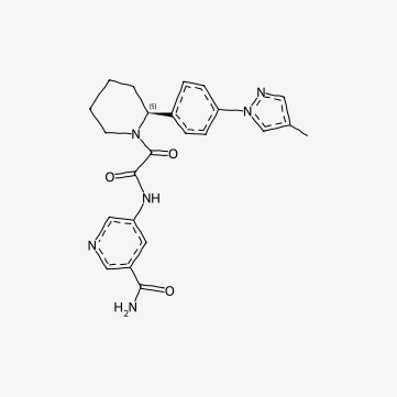 Cc1cnn(-c2ccc([C@@H]3CCCCN3C(=O)C(=O)Nc3cncc(C(N)=O)c3)cc2)c1